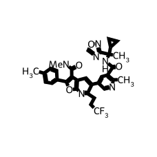 CNC(=O)c1c(-c2ccc(C)cc2)oc2nc(CCC(F)(F)F)c(-c3cnc(C)c(C(=O)NC(C)(c4ncon4)C4CC4)c3)cc12